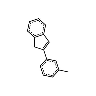 Cc1cccc(C2=Cc3ccccc3[CH]2)c1